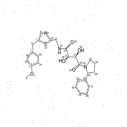 COc1ccc(Cc2cnc(CNC(=O)[C@H](O)[C@@H](O)C(=O)N3CCCC3c3ccccc3)s2)cc1